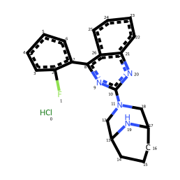 Cl.Fc1ccccc1-c1nc(N2CC3CCCC(C2)N3)nc2ccccc12